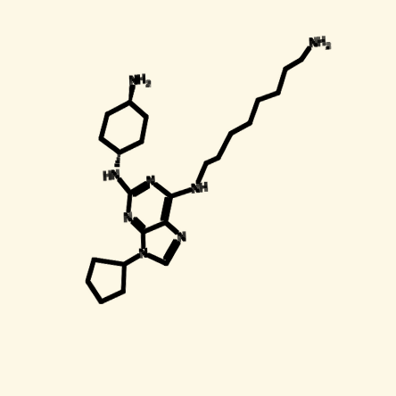 NCCCCCCCCNc1nc(N[C@H]2CC[C@H](N)CC2)nc2c1ncn2C1CCCC1